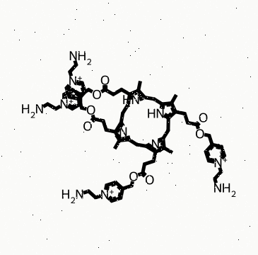 Cc1c2[nH]c(c1CCC(=O)OCc1cc[n+](CCN)cc1)Cc1c(C)c(CCC(=O)OCc3cc[n+](CCN)cc3)c(n1C)Cc1c(C)c(CCC(=O)OCc3cc[n+](CCN)cc3)c(n1C)Cc1[nH]c(c(C)c1CCC(=O)OCc1cc[n+](CCN)cc1)C2